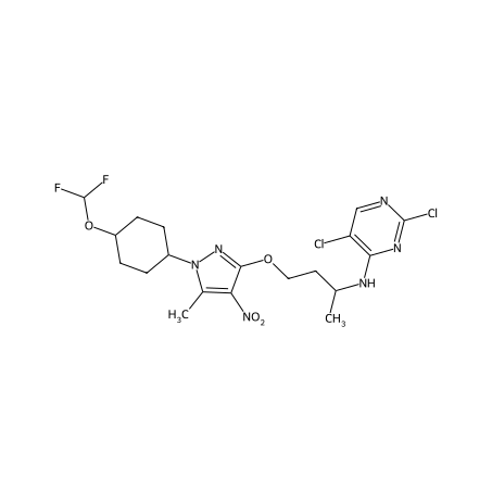 Cc1c([N+](=O)[O-])c(OCCC(C)Nc2nc(Cl)ncc2Cl)nn1C1CCC(OC(F)F)CC1